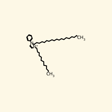 CCCCCCCCCCCCCCCCCCc1n(-c2ccccc2)cc[n+]1CCCCCCCCCCCC